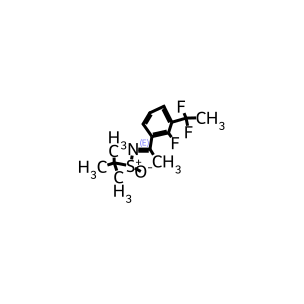 C/C(=N\[S+]([O-])C(C)(C)C)c1cccc(C(C)(F)F)c1F